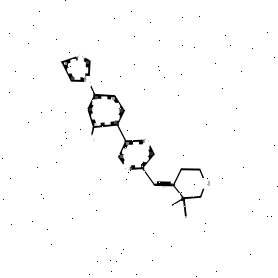 Oc1cc(-n2ccnc2)ccc1-c1cnc(/C=C2\CCNCC2(F)F)cn1